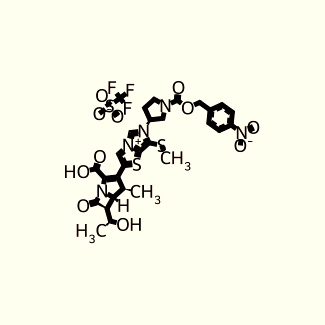 CSc1c2sc(C3=C(C(=O)O)N4C(=O)[C@H]([C@@H](C)O)[C@H]4[C@H]3C)c[n+]2cn1[C@H]1CCN(C(=O)OCc2ccc([N+](=O)[O-])cc2)C1.O=S(=O)([O-])C(F)(F)F